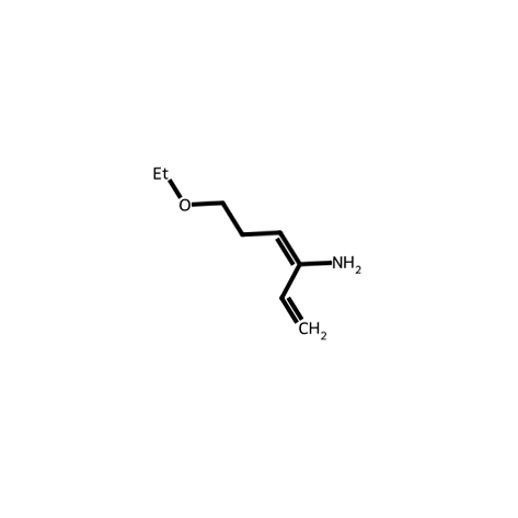 C=C/C(N)=C\CCOCC